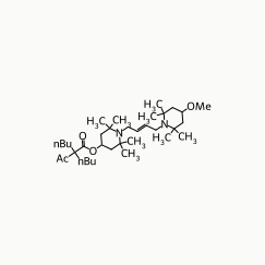 CCCCC(CCCC)(C(C)=O)C(=O)OC1CC(C)(C)N(CC=CCN2C(C)(C)CC(OC)CC2(C)C)C(C)(C)C1